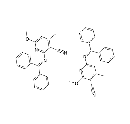 COc1cc(C)c(C#N)c(N=C(c2ccccc2)c2ccccc2)n1.COc1nc(N=C(c2ccccc2)c2ccccc2)cc(C)c1C#N